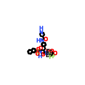 CCN(CC)C(=O)C(Cc1ccc(NC(=O)C2CCNCC2)cc1)C(=O)NS(=O)(=O)c1ccc2ccccc2c1.O=C(O)C(F)(F)F